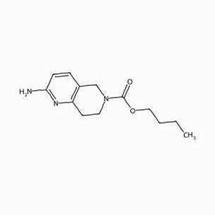 CCCCOC(=O)N1CCc2nc(N)ccc2C1